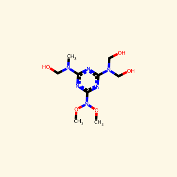 CON(OC)c1nc(N(C)CO)nc(N(CO)CO)n1